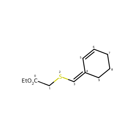 CCOC(=O)CSC=C1C=CCCC1